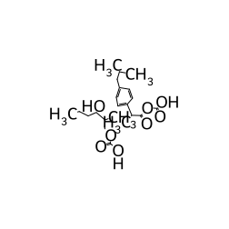 CC(C)Cc1ccc(C(C)C(=O)OC(=O)O)cc1.CCCC(O)C(C)COC(=O)O